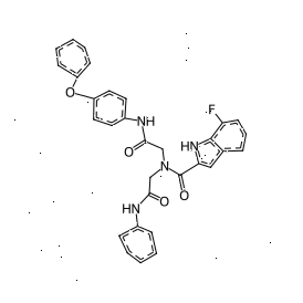 O=C(CN(CC(=O)Nc1ccc(Oc2ccccc2)cc1)C(=O)c1cc2cccc(F)c2[nH]1)Nc1ccccc1